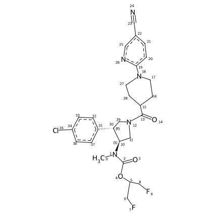 CN(C(=O)OC(CF)CF)[C@@H]1CN(C(=O)C2CCN(c3ccc(C#N)cn3)CC2)C[C@H]1c1ccc(Cl)cc1